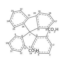 O=C(O)c1ccccc1C1(c2ccccc2C(=O)O)c2ccccc2-c2ccccc21